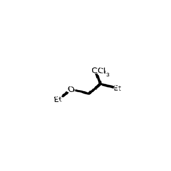 [CH2]COCC(CC)C(Cl)(Cl)Cl